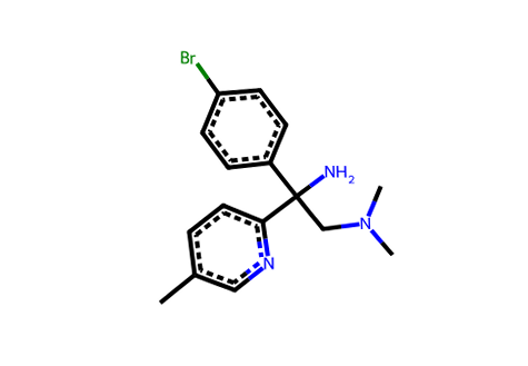 Cc1ccc(C(N)(CN(C)C)c2ccc(Br)cc2)nc1